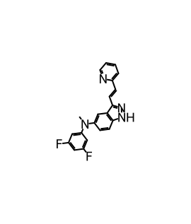 CN(c1cc(F)cc(F)c1)c1ccc2[nH]nc(C=Cc3ccccn3)c2c1